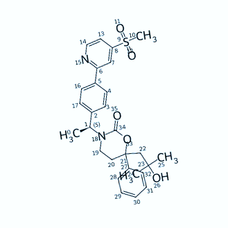 C[C@@H](c1ccc(-c2cc(S(C)(=O)=O)ccn2)cc1)N1CCC(CC(C)(C)O)(c2ccccc2)OC1=O